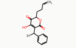 C=CCCC1OC(=O)C(C(CC)c2ccccc2)=C(O)C1=O